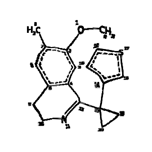 COc1cc2c(cc1C)CCN=C2C1(c2ccsc2)CC1